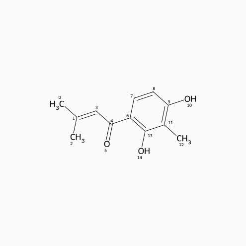 CC(C)=CC(=O)c1ccc(O)c(C)c1O